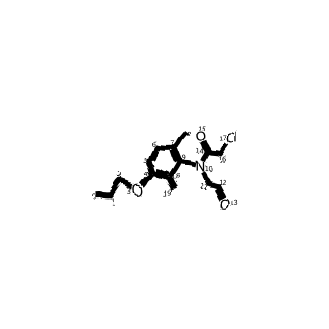 CCCOc1ccc(C)c(N(CC=O)C(=O)CCl)c1C